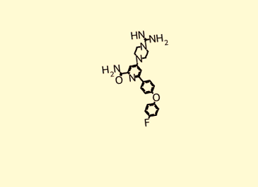 N=C(N)N1CCN(c2cc(C(N)=O)nc(-c3ccc(Oc4ccc(F)cc4)cc3)c2)CC1